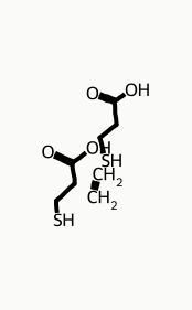 C=C.O=C(O)CCS.O=C(O)CCS